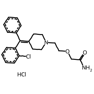 Cl.NC(=O)COCCN1CCC(=C(c2ccccc2)c2ccccc2Cl)CC1